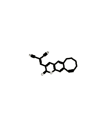 N#CC(C#N)=Cc1cc2cc3c(cc2oc1=O)C#CCCCC3